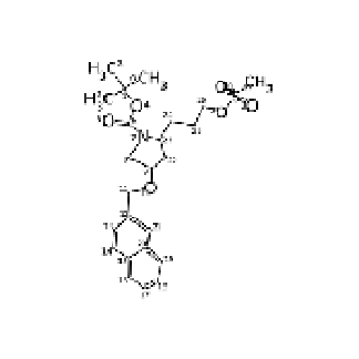 CC(C)(C)OC(=O)N1CC(OCc2ccc3ccccc3c2)CC1CCCOS(C)(=O)=O